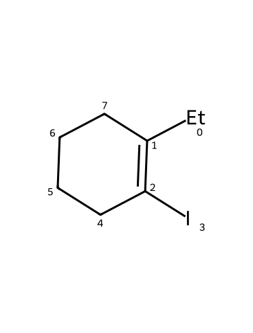 CCC1=C(I)CCCC1